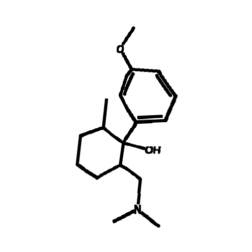 COc1cccc(C2(O)C(C)CCCC2CN(C)C)c1